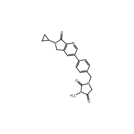 CN1C(=O)CN(Cc2ccc(-c3cnc4c(c3)CN(C3CC3)C4=O)cc2)C1=O